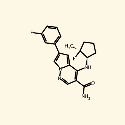 C[C@]1(F)CCC[C@H]1Nc1c(C(N)=O)cnn2cc(-c3cccc(F)c3)cc12